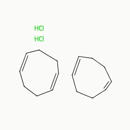 C1=CCCC=CCC1.C1=CCCC=CCC1.Cl.Cl